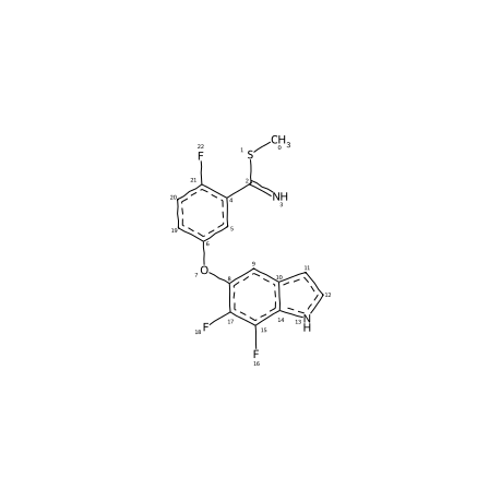 CSC(=N)c1cc(Oc2cc3cc[nH]c3c(F)c2F)ccc1F